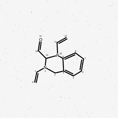 C=CN1Cc2ccccc2N(C=C)C1C=O